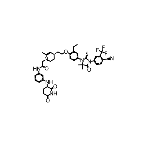 CCc1cc(N2C(=S)N(c3ccc(C#N)c(C(F)(F)F)c3)C(=O)C2(C)C)ccc1OCC[C@@H]1C=C(C)N(CC(=O)Nc2cccc(NC3CCC(=O)NC3=O)c2)CC1